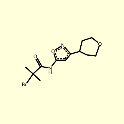 CC(C)(Br)C(=O)Nc1cc(C2CCOCC2)no1